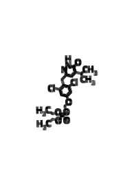 CCOP(=O)(OCC)OCOc1cc(Cl)c(Cc2cc(C(C)C)c(=O)[nH]n2)c(Cl)c1